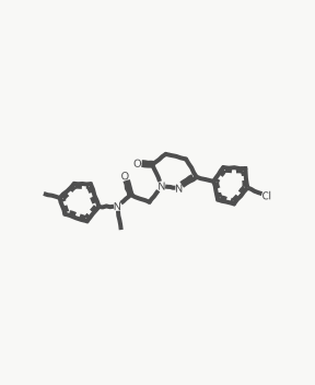 Cc1ccc(N(C)C(=O)CN2N=C(c3ccc(Cl)cc3)CCC2=O)cc1